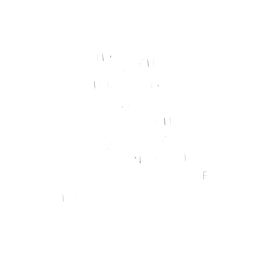 CCC1CCC(C(C)OC(O)C(C)(C)C)N(C(=O)CC(F)(F)F)C1